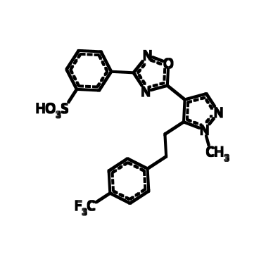 Cn1ncc(-c2nc(-c3cccc(S(=O)(=O)O)c3)no2)c1CCc1ccc(C(F)(F)F)cc1